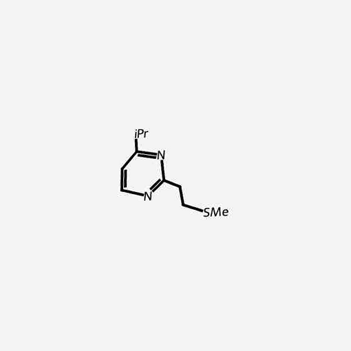 CSCCc1nccc(C(C)C)n1